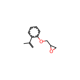 C=C(C)c1ccccc1OCC1CO1